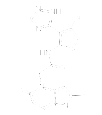 Cc1cc2n(CC(=O)Nc3scc(Br)c3-c3ncn[nH]3)c(=O)ccn2n1